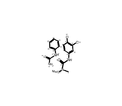 CON(C)C(=O)Nc1ccc(Cl)c(Cl)c1.NC(=O)Nc1ccccc1